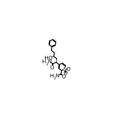 NC(=O)C1C=C([C@H](C[C@@H](O)[CH]Cc2ccccc2)C(N)=O)C=CS1(=O)=O